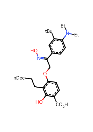 CCCCCCCCCCCCc1c(OCC(=NO)c2ccc(N(CC)CC)c(C(C)(C)C)c2)ccc(C(=O)O)c1O